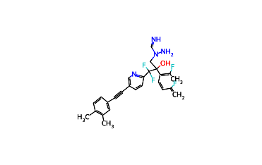 C=C(F)/C=C\C(=C(/C)F)C(O)(CN(N)C=N)C(F)(F)c1ccc(C#Cc2ccc(C)c(C)c2)cn1